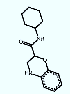 O=C(NC1CCCCC1)C1CNc2ccccc2O1